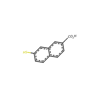 O=C(O)c1ccc2ccc(S)cc2c1